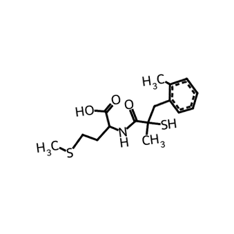 CSCCC(NC(=O)C(C)(S)Cc1ccccc1C)C(=O)O